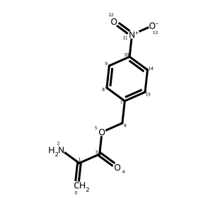 C=C(N)C(=O)OCc1ccc([N+](=O)[O-])cc1